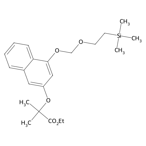 CCOC(=O)C(C)(C)Oc1cc(OCOCC[Si](C)(C)C)c2ccccc2c1